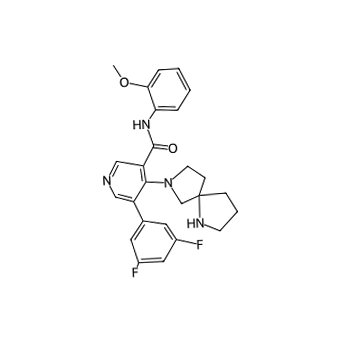 COc1ccccc1NC(=O)c1cncc(-c2cc(F)cc(F)c2)c1N1CCC2(CCCN2)C1